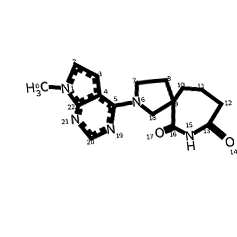 Cn1ccc2c(N3CCC4(CCCC(=O)NC4=O)C3)ncnc21